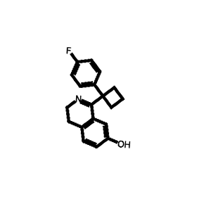 Oc1ccc2c(c1)C(C1(c3ccc(F)cc3)CCC1)=NCC2